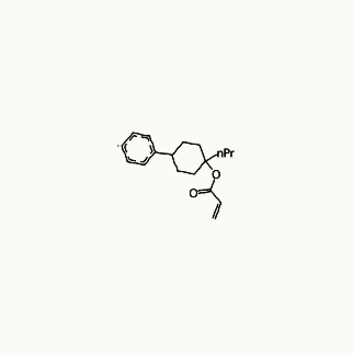 C=CC(=O)OC1(CCC)CCC(c2cc[c]cc2)CC1